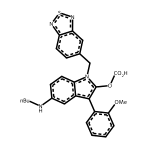 CCCCNc1ccc2c(c1)c(-c1ccccc1OC)c(OC(=O)O)n2Cc1ccc2nsnc2c1